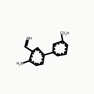 N=Cc1cc(-c2cccc(C(=O)O)c2)ccc1N